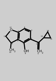 C=C(c1ccc2c(c1O)C(C)CO2)C1CC1